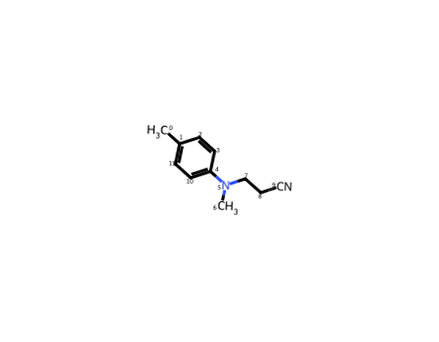 Cc1ccc(N(C)CCC#N)cc1